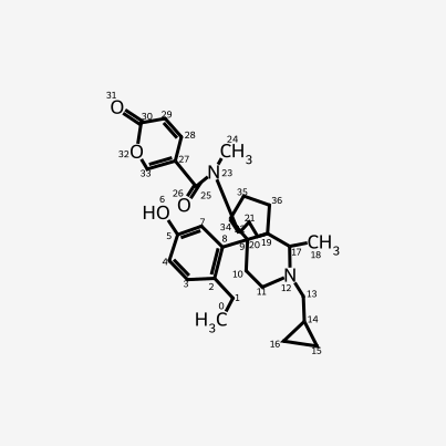 CCc1ccc(O)cc1C12CCN(CC3CC3)C(C)C13CCC(N(C)C(=O)c1ccc(=O)oc1)C2CC3